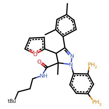 Cc1ccc(C2=NN(c3ccc(P)cc3P)C(C)(C(=O)NCCCC(C)(C)C)C2c2ccco2)c(C)c1